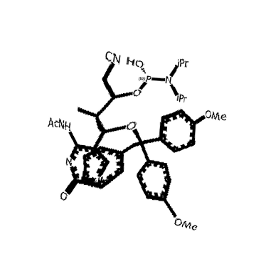 COc1ccc(C(OC(c2c[nH]c(=O)nc2NC(C)=O)C(C)C(CC#N)O[P@](O)N(C(C)C)C(C)C)(c2ccccc2)c2ccc(OC)cc2)cc1